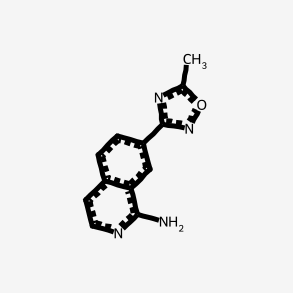 Cc1nc(-c2ccc3ccnc(N)c3c2)no1